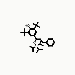 CC(C)[Si](OC(CCc1ccccc1)c1cc(C(C)(C)C)c(O)c(C(C)(C)C)c1)(C(C)C)C(C)C